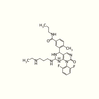 CCCNC(=O)c1ccc(C)c(C2NC(NCCCNCC)Nc3c2cnc(=O)n3-c2c(F)cccc2F)c1